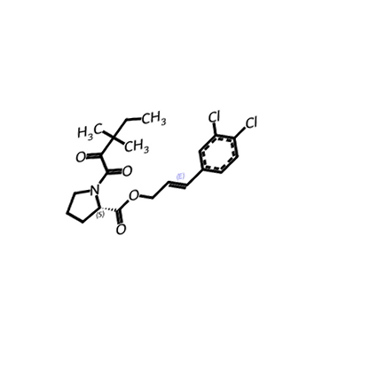 CCC(C)(C)C(=O)C(=O)N1CCC[C@H]1C(=O)OC/C=C/c1ccc(Cl)c(Cl)c1